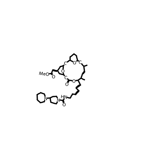 COC(=O)/C=C1\CC2CC(=O)OC(/C=C/C=C\CCNC(=O)N3CCC(N4CCCCCC4)CC3)C(C)/C=C/C(C)CC3CCCC(CC(C1)O2)O3